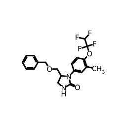 Cc1cc(N2C(=O)NCC2COCc2ccccc2)ccc1OC(F)(F)C(F)F